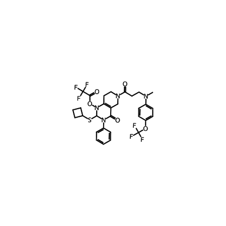 CN(CCC(=O)N1CCC2=C(C1)C(=O)N(c1ccccc1)C(SC1CCC1)N2OC(=O)C(F)(F)F)c1ccc(OC(F)(F)F)cc1